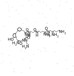 NCCC[C@H](N)CNC(=O)[C@@H](N)CCCNC(=O)CCNC(=O)[C@@H]1Cc2cccc(c2)-c2ccc(O)c(c2)C[C@H](N)C(=O)N[C@@H](CCCN)C(=O)N1